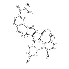 COc1ccc(C(=O)N(C)C)cc1-c1cc2c(n1C(C)C)C(c1ccc(Cl)cc1)N(c1cc(Cl)ccc1C)C2=O